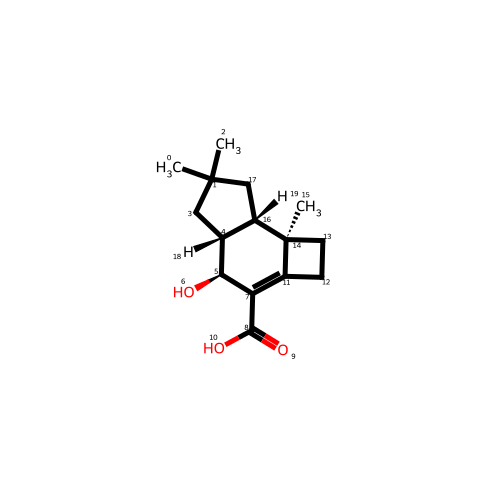 CC1(C)C[C@H]2[C@H](O)C(C(=O)O)=C3CC[C@]3(C)[C@H]2C1